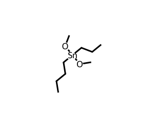 CCC[CH2][Sn]([CH2]CC)([O]C)[O]C